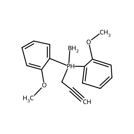 B[PH](CC#C)(c1ccccc1OC)c1ccccc1OC